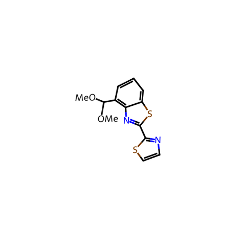 COC(OC)c1cccc2sc(-c3nccs3)nc12